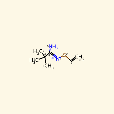 C=CS/N=C(\N)C(C)(C)C